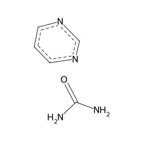 NC(N)=O.c1cncnc1